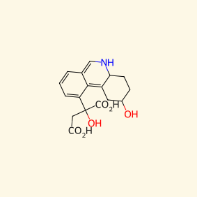 O=C(O)CC(O)(C(=O)O)c1cccc2c1=C1CC(O)CCC1NC=2